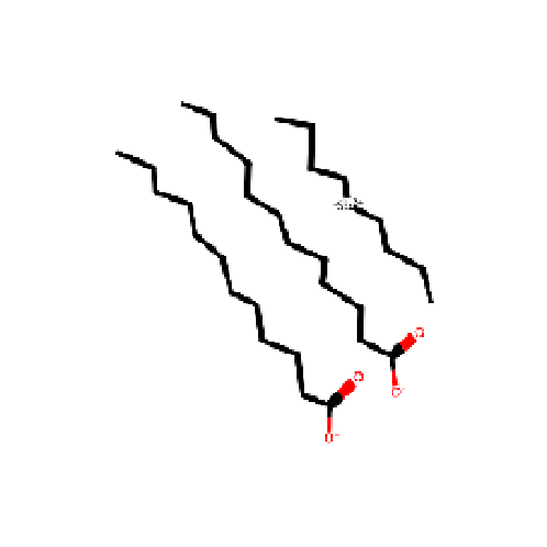 CCCCCCCCCCCC(=O)[O-].CCCCCCCCCCCC(=O)[O-].CCC[CH2][Sb+2][CH2]CCC